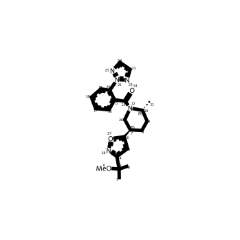 COC(C)(C)c1cc([C@@H]2CC[C@@H](C)N(C(=O)c3ccccc3-n3nccn3)C2)on1